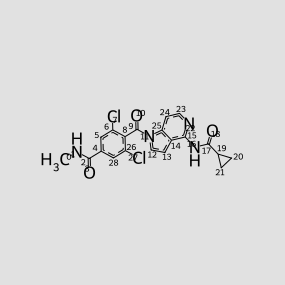 CNC(=O)c1cc(Cl)c(C(=O)n2ccc3c(NC(=O)C4CC4)nccc32)c(Cl)c1